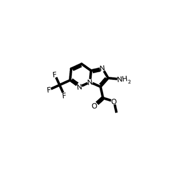 COC(=O)c1c(N)nc2ccc(C(F)(F)F)nn12